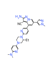 CCC1CN(c2ccc(N(C)C)nc2)CCN1c1ccc(-c2cc(-c3cnn(C)c3)cn3nc(N)c(C#N)c23)cn1